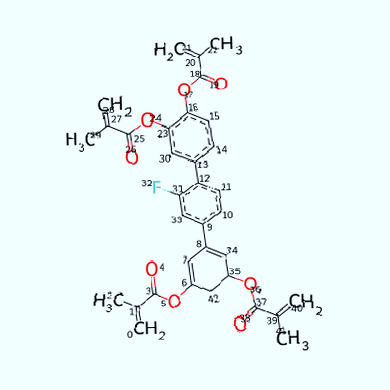 C=C(C)C(=O)OC1=CC(c2ccc(-c3ccc(OC(=O)C(=C)C)c(OC(=O)C(=C)C)c3)c(F)c2)=CC(OC(=O)C(=C)C)C1